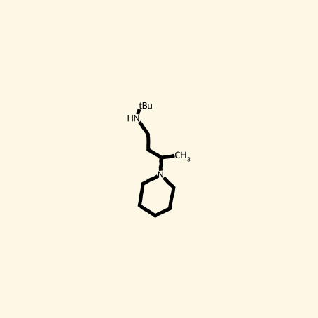 C[C](CCNC(C)(C)C)N1CCCCC1